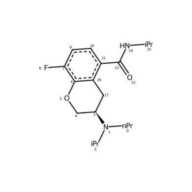 CCCN(C(C)C)[C@H]1COc2c(F)ccc(C(=O)NC(C)C)c2C1